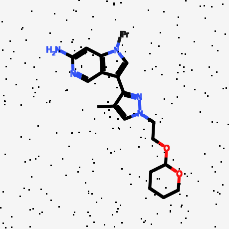 Cc1cn(CCOC2CCCCO2)nc1-c1cn(C(C)C)c2cc(N)ncc12